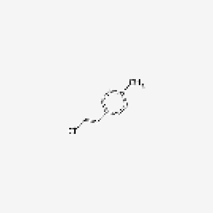 Cc1ccc(/C=C/Cl)cc1